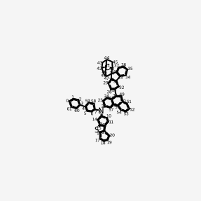 c1ccc(-c2ccc(N(c3ccc4c(c3)sc3ccccc34)c3ccc4c(-c5ccc6c(c5)-c5ccccc5C65C6CC7CC(C6)CC5C7)cc5ccccc5c4c3)cc2)cc1